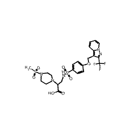 CS(=O)(=O)N1CCN(C(CNS(=O)(=O)c2ccc(OCc3c(C(F)(F)F)nn4ccccc34)cc2)C(=O)O)CC1